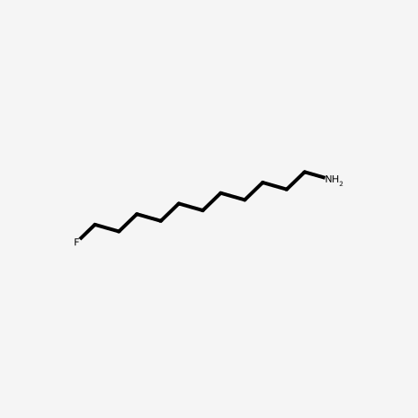 NCCCCCCCCCCCF